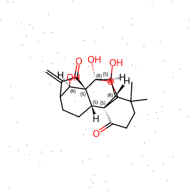 C=C1C(=O)[C@]23[C@H](O)C1CC[C@H]2[C@@]12CO[C@@]3(O)[C@@H](O)[C@@H]1C(C)(C)CCC2=O